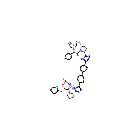 CCN(CC)[C@@H](C(=O)N1CCC[C@H]1c1ncc(-c2ccc(-c3ccc(-c4cnc([C@@H]5CCCN5C(=O)[C@H](Cc5ccccn5)OC(N)=O)[nH]4)cc3)cc2)[nH]1)c1ccccc1